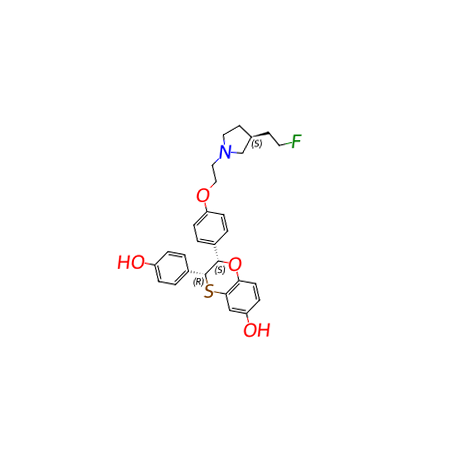 Oc1ccc([C@H]2Sc3cc(O)ccc3O[C@H]2c2ccc(OCCN3CC[C@@H](CCF)C3)cc2)cc1